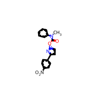 CN(C(=O)On1ccc(-c2ccc([N+](=O)[O-])cc2)n1)c1ccccc1